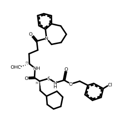 O=C[C@H](CCC(=O)N1CCCCc2ccccc21)NC(=O)[C@H](CC1CCCCC1)SNC(=O)OCc1cccc(Cl)c1